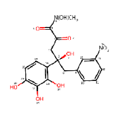 CN(O)C(=O)C(=O)C[C@](O)(Cc1cccc([N+](=O)[O-])c1)c1ccc(O)c(O)c1O